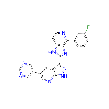 Fc1cccc(-c2nccc3[nH]c(-c4n[nH]c5ncc(-c6cncnc6)cc45)nc23)c1